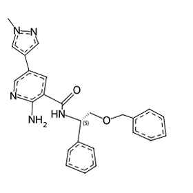 Cn1cc(-c2cnc(N)c(C(=O)N[C@H](COCc3ccccc3)c3ccccc3)c2)cn1